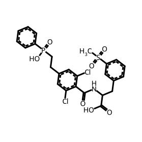 CS(=O)(=O)c1cccc(CC(NC(=O)c2c(Cl)cc(CCP(=O)(O)c3ccccc3)cc2Cl)C(=O)O)c1